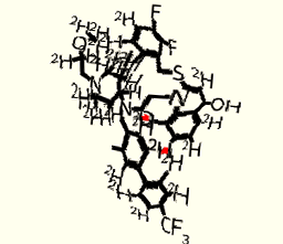 [2H]C1=C(SCc2c([2H])c([2H])c([2H])c(F)c2F)N(CC(=O)N(Cc2c([2H])c([2H])c(-c3c([2H])c([2H])c(C(F)(F)F)c([2H])c3[2H])c([2H])c2C)C2([2H])C([2H])([2H])C([2H])([2H])N(CC([2H])([2H])OC([2H])([2H])[2H])C([2H])([2H])C2([2H])[2H])c2c([2H])c([2H])c([2H])c([2H])c2C1O